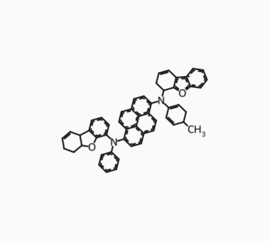 CC1C=CC(N(c2ccc3ccc4c(N(c5ccccc5)c5cccc6c5OC5CCC=CC65)ccc5ccc2c3c54)C2CC=Cc3c2oc2ccccc32)=CC1